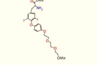 COCCOCCOCCOc1ccc(Oc2c(I)cc(CC(N)C(=O)OC)cc2I)cc1